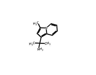 Cc1cc(C(C)(C)N)c2ccccn12